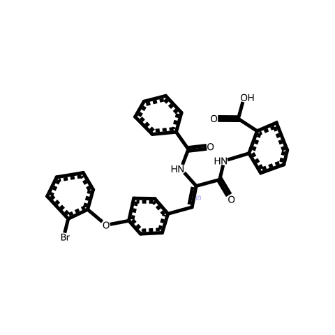 O=C(Nc1ccccc1C(=O)O)/C(=C/c1ccc(Oc2ccccc2Br)cc1)NC(=O)c1ccccc1